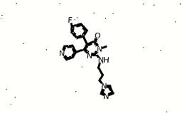 Cn1c(NCCCn2ccnc2)nc(-c2ccncc2)c(-c2ccc(F)cc2)c1=O